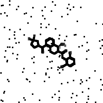 C[C@H]1c2cccc(C(=O)N3CCC(F)(F)C3)c2CCN1C(=O)Cc1c(Cl)cccc1Cl